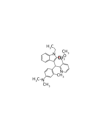 CCn1c(C)c(C(c2ccc(N(C)C)cc2C)c2ncccc2C(=O)OC)c2ccccc21